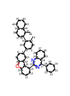 Cc1ccc(-c2ccc3oc4cccc(-c5nc(-c6ccccc6)c6ccccc6n5)c4c3c2)cc1-c1ccc2ccccc2c1C